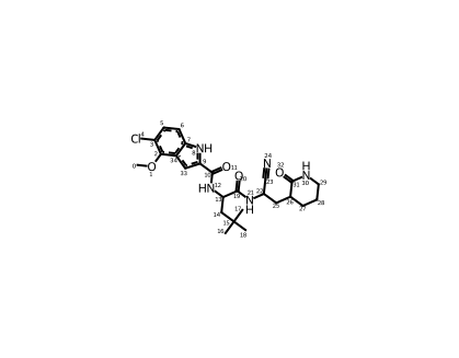 COc1c(Cl)ccc2[nH]c(C(=O)NC(CC(C)(C)C)C(=O)NC(C#N)CC3CCCNC3=O)cc12